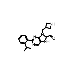 CC(C)c1ccccc1-c1ncc2c(n1)N(CC1CNC1)C(C=O)N2